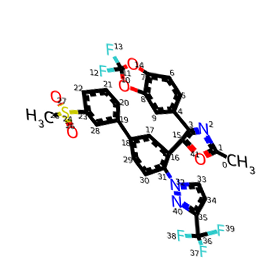 Cc1nc(-c2ccc3c(c2)OC(F)(F)O3)c(-c2cc(-c3cccc(S(C)(=O)=O)c3)ccc2-n2ccc(C(F)(F)F)n2)o1